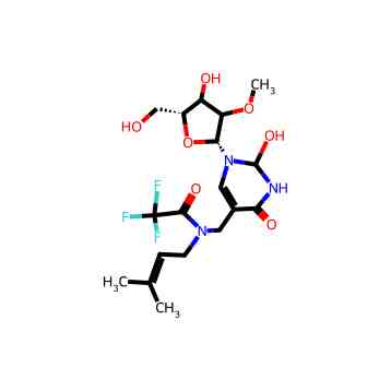 COC1C(O)[C@@H](CO)O[C@H]1N1C=C(CN(CC=C(C)C)C(=O)C(F)(F)F)C(=O)NC1O